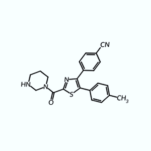 Cc1ccc(-c2sc(C(=O)N3CCCNC3)nc2-c2ccc(C#N)cc2)cc1